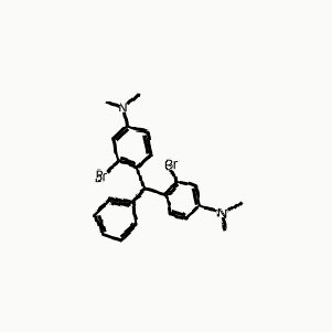 CN(C)c1ccc(C(c2ccccc2)c2ccc(N(C)C)cc2Br)c(Br)c1